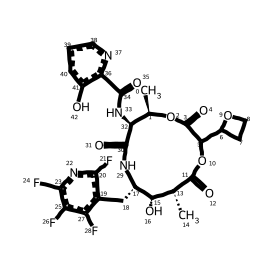 C[C@H]1OC(=O)C(C2CCO2)OC(=O)[C@H](C)[C@H](O)[C@H](Cc2c(F)nc(F)c(F)c2F)NC(=O)[C@H]1NC(=O)c1ncccc1O